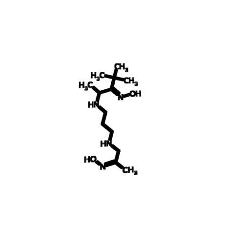 CC(CNCCCNC(C)C(=NO)C(C)(C)C)=NO